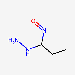 CCC(N=O)NN